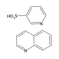 O=S(=O)(O)c1cccnc1.c1ccc2ncccc2c1